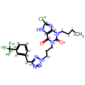 CCCCn1c(=O)n(CCCn2nnc(Cc3cccc(C(F)(F)F)c3)n2)c(=O)c2[nH]c(Cl)nc21